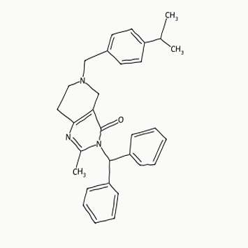 Cc1nc2c(c(=O)n1C(c1ccccc1)c1ccccc1)CN(Cc1ccc(C(C)C)cc1)CC2